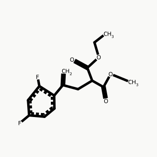 C=C(CC(C(=O)OC)C(=O)OCC)c1ccc(F)cc1F